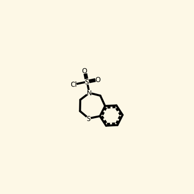 O=S(=O)(Cl)N1CCSc2ccccc2C1